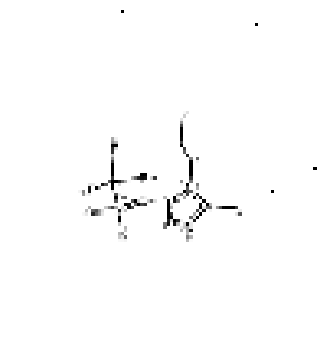 CCC[n+]1cc[nH]c1C.O=S(=O)([O-])C(F)(F)F